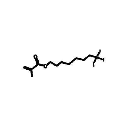 C=C(C)C(=O)OCCCCCCC[Si](I)(I)I